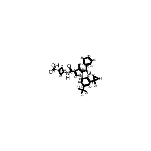 Cc1c(C(=O)N[C@H]2C[C@H](C(=O)O)C2)cn(-c2cc(C(C)(C)C)cc(C3(C)CC3)c2)c1C(=O)c1ccccc1